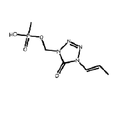 C/C=C/n1nnn(COP(C)(=O)O)c1=O